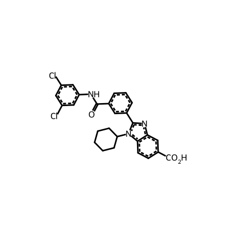 O=C(O)c1ccc2c(c1)nc(-c1cccc(C(=O)Nc3cc(Cl)cc(Cl)c3)c1)n2C1CCCCC1